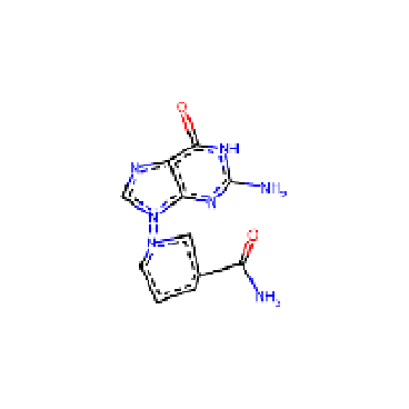 NC(=O)c1cccnc1.Nc1nc2[nH]cnc2c(=O)[nH]1